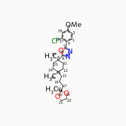 COc1ccc(-c2nnc(C3(C)CCC(C)(CCCC4(C)OCCO4)CC3)o2)c(Cl)c1